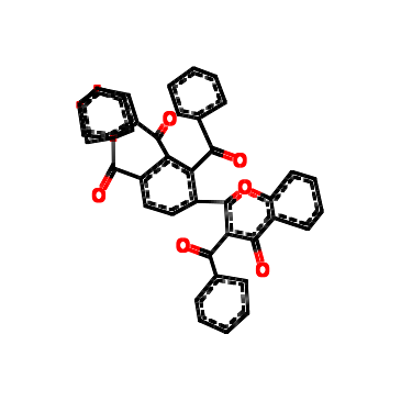 O=C(c1ccccc1)c1ccc(-c2oc3ccccc3c(=O)c2C(=O)c2ccccc2)c(C(=O)c2ccccc2)c1C(=O)c1ccccc1